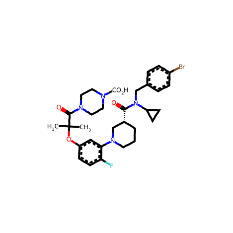 CC(C)(Oc1ccc(F)c(N2CCC[C@@H](C(=O)N(Cc3ccc(Br)cc3)C3CC3)C2)c1)C(=O)N1CCN(C(=O)O)CC1